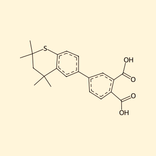 CC1(C)CC(C)(C)c2cc(-c3ccc(C(=O)O)c(C(=O)O)c3)ccc2S1